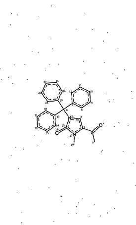 CC(=O)c1cn(C(c2ccccc2)(c2ccccc2)c2ccccc2)c(=O)n1C